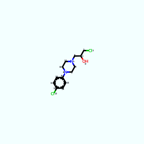 OC(CCl)CN1CCN(c2ccc(Cl)cc2)CC1